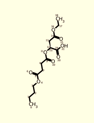 CCCCOC(=O)CCC(=O)O[C@@H](CC(=O)OCC)C(=O)O